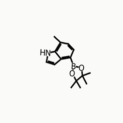 Cc1ccc(B2OC(C)(C)C(C)(C)O2)c2cc[nH]c12